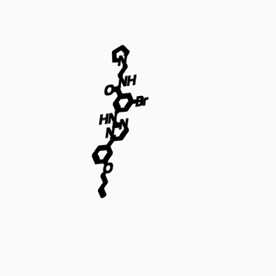 C=CCCOc1cccc(-c2ccnc(Nc3cc(Br)cc(C(=O)NCCN4CCCC4)c3)n2)c1